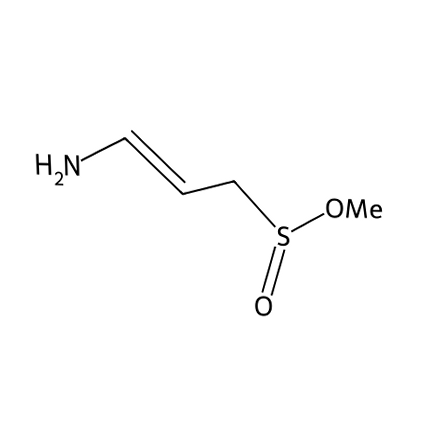 COS(=O)CC=CN